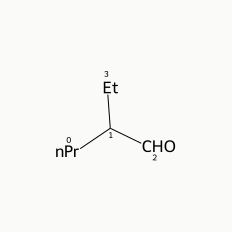 [CH2]CCC(C=O)CC